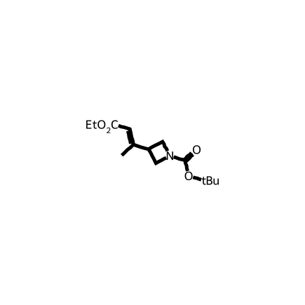 CCOC(=O)/C=C(\C)C1CN(C(=O)OC(C)(C)C)C1